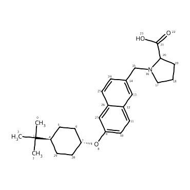 CC(C)(C)[C@H]1CC[C@H](Oc2ccc3cc(CN4CCCC4C(=O)O)ccc3c2)CC1